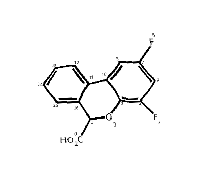 O=C(O)C1Oc2c(F)cc(F)cc2-c2ccccc21